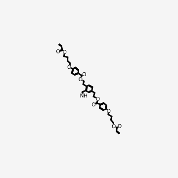 C=CC(=O)OCCCCOc1ccc(C(=O)OCCc2ccc(CCOC(=O)c3ccc(OCCCCOC(=O)C=C)cc3)c(C=N)c2)cc1